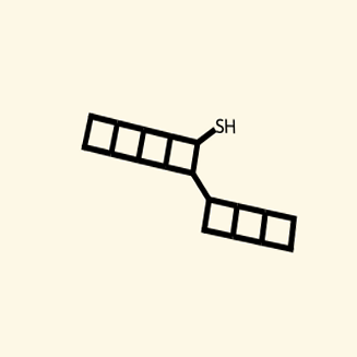 SC1C(C2CC3C4CCC4C32)C2C1C1C3CCC3C12